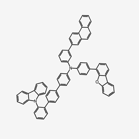 c1cc(-c2ccc3c(ccc4ccccc43)c2)cc(N(c2ccc(-c3ccc(-c4ccccc4-n4c5ccccc5c5ccccc54)cc3)cc2)c2ccc(-c3cccc4c3oc3ccccc34)cc2)c1